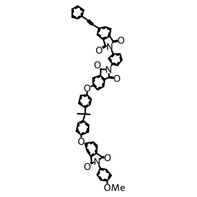 COc1ccc(N2C(=O)c3ccc(Oc4ccc(C(C)(C)c5ccc(Oc6ccc7c(c6)C(=O)N(c6cccc(N8C(=O)c9ccc(C#Cc%10ccccc%10)cc9C8=O)c6)C7=O)cc5)cc4)cc3C2=O)cc1